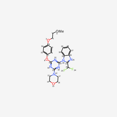 COCCOc1ccc(Oc2nc(N3CCOCC3)nc(-n3c(C(F)F)nc4ccccc43)n2)cc1